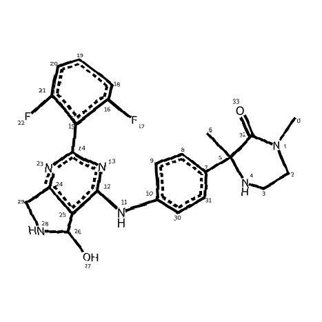 CN1CCNC(C)(c2ccc(Nc3nc(-c4c(F)cccc4F)nc4c3C(O)NC4)cc2)C1=O